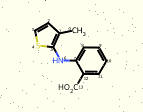 Cc1ccsc1Nc1ccccc1C(=O)O